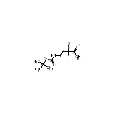 CC(C)(C)OC(=O)NCCC(F)(F)C(=O)O